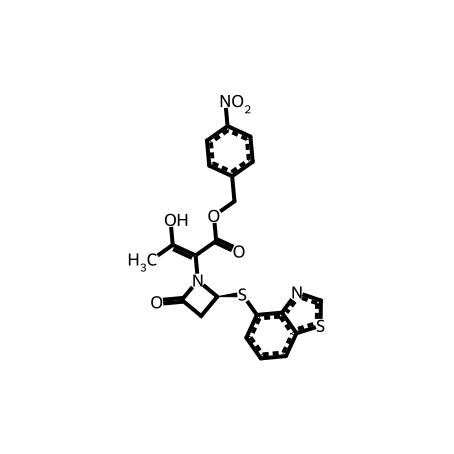 C/C(O)=C(/C(=O)OCc1ccc([N+](=O)[O-])cc1)N1C(=O)C[C@@H]1Sc1cccc2scnc12